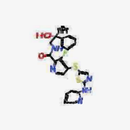 CCCC(O)(CNC(=O)c1nccc(Sc2cnc(Nc3ccccn3)s2)c1F)c1ccccc1